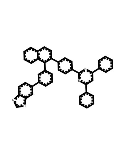 c1ccc(-c2cc(-c3ccccc3)nc(-c3ccc(-c4ccc5ccccc5c4-c4cccc(-c5ccc6ncoc6c5)c4)cc3)n2)cc1